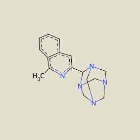 Cc1nc(C2N3CN4CN(C3)CN2C4)cc2ccccc12